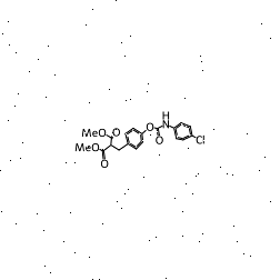 COC(=O)C(Cc1ccc(OC(=O)Nc2ccc(Cl)cc2)cc1)C(=O)OC